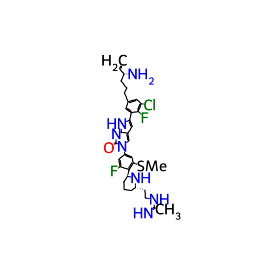 C=C[C@H](N)CCCc1cc(Cl)c(F)c(-c2cc3cn(-c4cc(F)c([C@@H]5CCC[C@@H](CCNC(C)=N)N5)c(SC)c4)c(=O)nc3[nH]2)c1